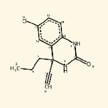 C#CC1(CCC)NC(=O)Nc2ccc(Cl)cc21